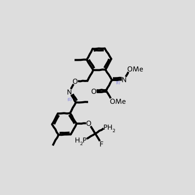 CO/N=C(/C(=O)OC)c1cccc(C)c1CO/N=C(\C)c1ccc(C)cc1OC(F)(P)P